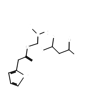 NC(CC(N)C(=O)O)C[C@H](NC(=O)Cc1cccs1)B(O)O